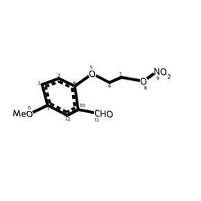 COc1ccc(OCCO[N+](=O)[O-])c(C=O)c1